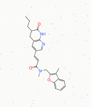 CCCC1Cc2cc(/C=C/C(=O)N(C)Cc3oc4ccccc4c3C)cnc2NC1=O